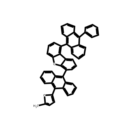 Cc1ccc(-c2c3ccccc3c(-c3cccc4c3oc3cccc(-c5c6ccccc6c(-c6ccccc6)c6ccccc56)c34)c3ccccc23)o1